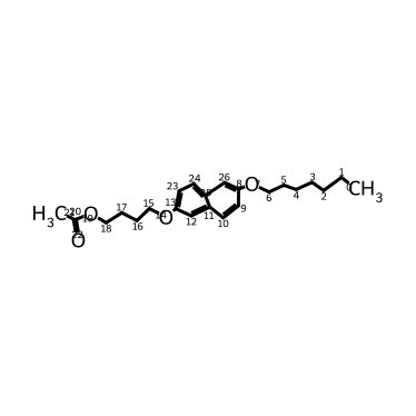 CCCCCCCOc1ccc2cc(OCCCCOC(C)=O)ccc2c1